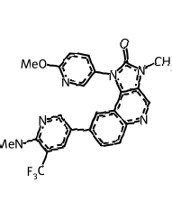 CNc1ncc(-c2ccc3ncc4c(c3c2)n(-c2ccc(OC)nc2)c(=O)n4C)cc1C(F)(F)F